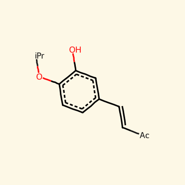 CC(=O)C=Cc1ccc(OC(C)C)c(O)c1